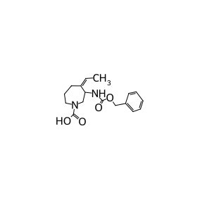 C/C=C1/CCCN(C(=O)O)CC1NC(=O)OCc1ccccc1